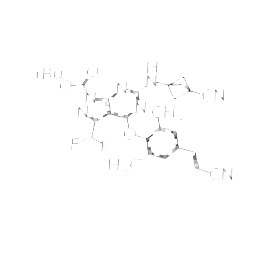 Cc1cc(/C=C/C#N)cc(C)c1Oc1nc(NC23CC(C#N)(C2)C3)nc2c1c(C(F)F)nn2C(=O)OC(C)(C)C